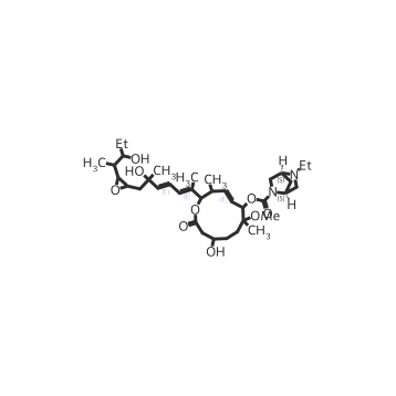 CCC(O)C(C)C1OC1CC(C)(O)/C=C/C=C(\C)C1OC(=O)CC(O)CCC(C)(OC)C(OC(=O)N2C[C@@H]3C[C@H]2CN3CC)/C=C/C1C